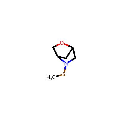 CSN1CC2CC1CO2